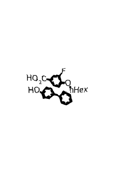 CCCCCCOc1ccc(C(=O)O)cc1F.Oc1ccc(-c2ccccc2)cc1